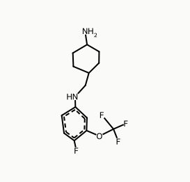 NC1CCC(CNc2ccc(F)c(OC(F)(F)F)c2)CC1